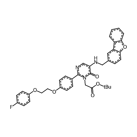 CC(C)(C)OC(=O)Cn1c(-c2ccc(OCCOc3ccc(F)cc3)cc2)ncc(NCc2ccc3oc4ccccc4c3c2)c1=O